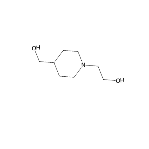 OCCN1CCC(CO)CC1